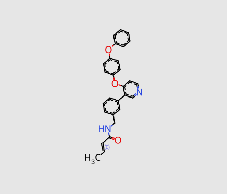 C/C=C/C(=O)NCc1cccc(-c2cnccc2Oc2ccc(Oc3ccccc3)cc2)c1